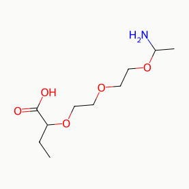 CCC(OCCOCCOC(C)N)C(=O)O